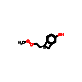 COOCC[C@@H]1Cc2cc(O)ccc21